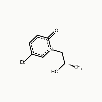 CCc1ccc(=O)n(C[C@@H](O)C(F)(F)F)c1